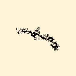 C[Si](C)(C)CCOCn1cc(Cl)c2c(NCCCOc3nc(N4CCC5(CC4)COC5)ccc3N)nc(Cl)nc21